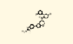 Nc1nc2ccc(-c3ccc4c(c3)CN(C(=O)N3CCC(=O)CC3c3cccc(F)c3)CCO4)cc2[nH]1